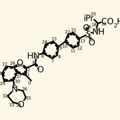 Cc1c(C(=O)Nc2ccc(-c3ccc(S(=O)(=O)NC(C(=O)O)C(C)C)cc3)cc2)oc2cccc(N3CCOCC3)c12